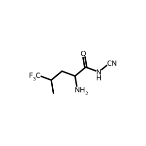 CC(CC(N)C(=O)NC#N)C(F)(F)F